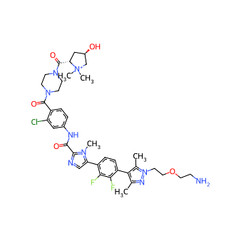 Cc1nn(CCOCCN)c(C)c1-c1ccc(-c2cnc(C(=O)Nc3ccc(C(=O)N4CCN(C(=O)[C@@H]5C[C@@H](O)C[N+]5(C)C)CC4)c(Cl)c3)n2C)c(F)c1F